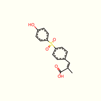 CC(=Cc1ccc(S(=O)(=O)c2ccc(O)cc2)cc1)C(=O)O